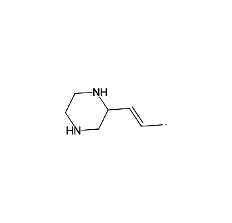 [CH2]C=CC1CNCCN1